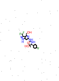 CC(C)(O)[C@@H](NC(=O)Nc1cc2[nH]nc(C(F)F)c2c(CO)n1)c1ccc(F)cc1